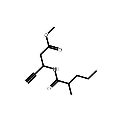 C#CC(CC(=O)OC)NC(=O)C(C)CCC